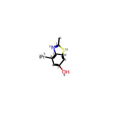 Cc1nc2c(C(C)C)cc(O)cc2s1